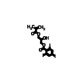 C=C(C)C(=O)OCC(O)COC(=O)c1c(I)cc(I)cc1I